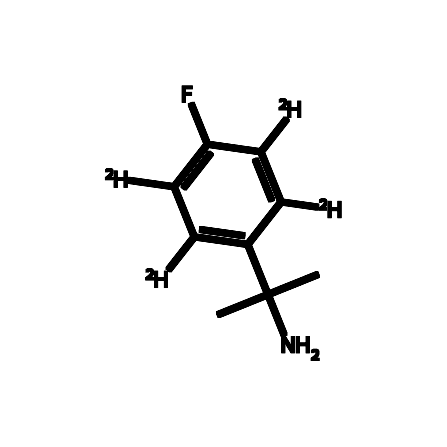 [2H]c1c([2H])c(C(C)(C)N)c([2H])c([2H])c1F